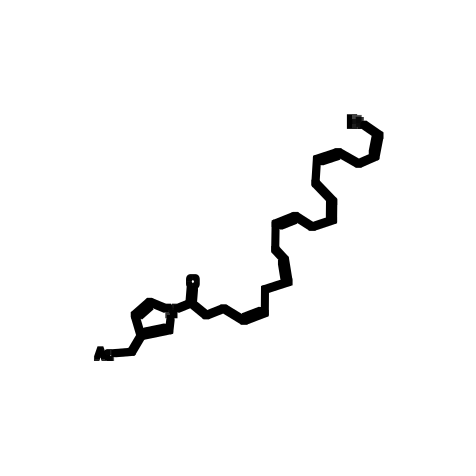 CC/C=C\C/C=C\C/C=C\C/C=C\C/C=C\C/C=C\CCC(=O)n1ccc(CC(C)=O)c1